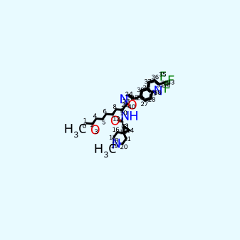 CCC(=O)CCCCCC(NC(=O)[C@H]1CC12CCN(C)CC2)c1ncc(-c2ccc3nc(C(F)(F)F)ccc3c2)o1